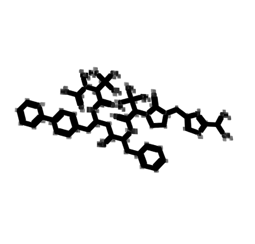 CC(C)c1nc(CN2CCN(C(C(=O)NC(Cc3ccccc3)C(O)CC(Cc3ccc(-c4ccccn4)cc3)NC(=O)C(N(C)C(=O)O)C(C)(C)C)C(C)(C)C)C2=O)cs1